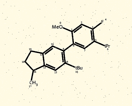 COc1cc(F)c(C(C)C)cc1-c1cc2c(cc1C(C)(C)C)C(C)CC2